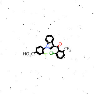 O=C(O)c1ccc(-n2cc(C(=O)c3c(Cl)cccc3C(F)(F)F)c3ccccc32)c(F)c1